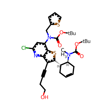 CN(C(=O)OC(C)(C)C)[C@H]1CC=CC[C@@H]1c1sc2c(N(Cc3cccs3)C(=O)OC(C)(C)C)cc(Cl)nc2c1C#CCCO